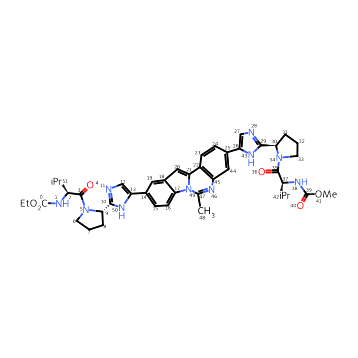 CCOC(=O)N[C@H](C(=O)N1CCC[C@H]1c1ncc(-c2ccc3c(c2)cc2c4ccc(-c5cnc([C@H]6CCCN6C(=O)[C@@H](NC(=O)OC)C(C)C)[nH]5)cc4nc(C)n32)[nH]1)C(C)C